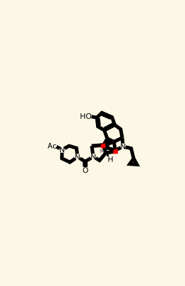 CC(=O)N1CCN(C(=O)N2C[C@H]3CC45CCC2C3C42CCN(CC3CC3)C5Cc3ccc(O)cc32)CC1